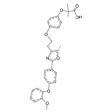 COc1ccccc1Oc1ccc(-c2nc(CCOc3ccc(OC(C)(C)C(=O)O)cc3)c(C)o2)cc1